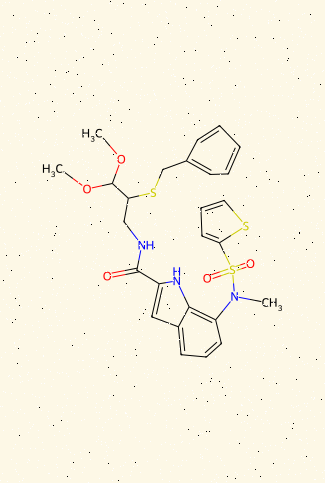 COC(OC)C(CNC(=O)c1cc2cccc(N(C)S(=O)(=O)c3cccs3)c2[nH]1)SCc1ccccc1